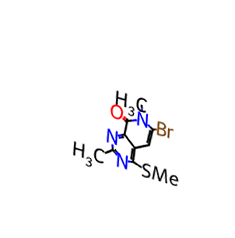 CSc1nc(C)nc2c(=O)n(C)c(Br)cc12